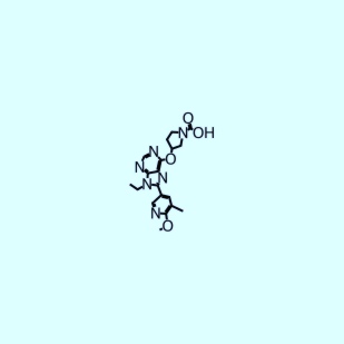 CCn1c(-c2cnc(OC)c(C)c2)nc2c(OC3CCN(C(=O)O)C3)ncnc21